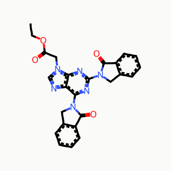 CCOC(=O)Cn1cnc2c(N3Cc4ccccc4C3=O)nc(N3Cc4ccccc4C3=O)nc21